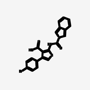 O=C(O)c1c(-c2ccc(Br)cc2)csc1NC(=O)n1cc2ccccc2c1